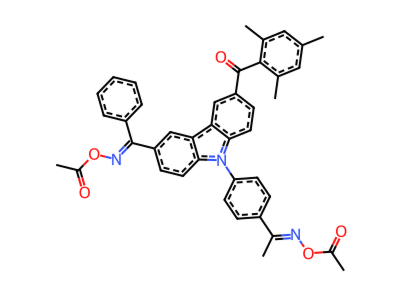 CC(=O)ON=C(C)c1ccc(-n2c3ccc(C(=O)c4c(C)cc(C)cc4C)cc3c3cc(C(=NOC(C)=O)c4ccccc4)ccc32)cc1